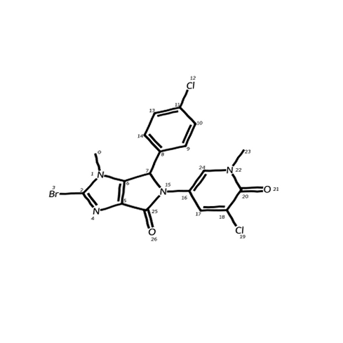 Cn1c(Br)nc2c1C(c1ccc(Cl)cc1)N(c1cc(Cl)c(=O)n(C)c1)C2=O